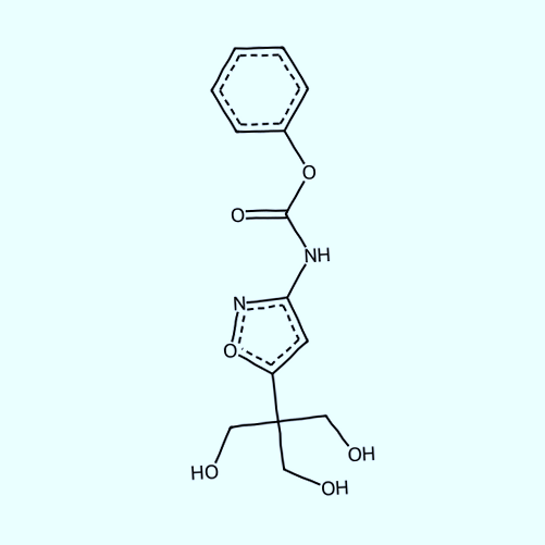 O=C(Nc1cc(C(CO)(CO)CO)on1)Oc1ccccc1